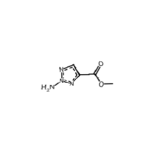 COC(=O)c1cnn(N)n1